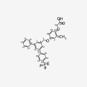 Cc1cc(OCc2cc(-c3ccccc3)cc(-c3ccc(C(F)(F)F)cc3)c2)ccc1OCC(=O)O